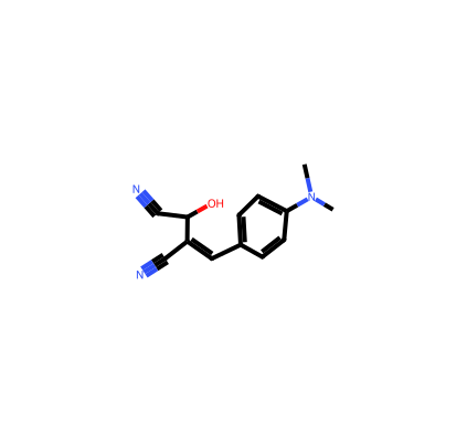 CN(C)c1ccc(C=C(C#N)C(O)C#N)cc1